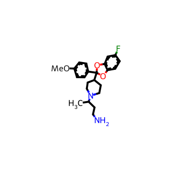 COc1ccc(C2(C3CCN(C(C)CCN)CC3)Oc3ccc(F)cc3O2)cc1